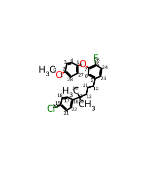 COc1ccc(Oc2cc(CCCC(C)(C)c3ccc(Cl)cc3)ccc2F)cc1